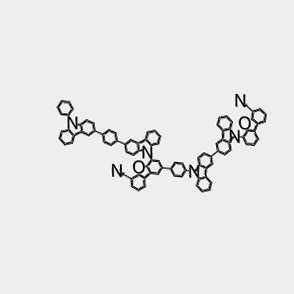 N#Cc1cccc2c1oc1c(-n3c4ccccc4c4cc(-c5ccc6c(c5)c5ccccc5n6-c5ccc(-c6cc(-n7c8ccccc8c8cc(-c9ccc(-c%10ccc%11c(c%10)c%10ccccc%10n%11-c%10ccccc%10)cc9)ccc87)c7oc8c(C#N)cccc8c7c6)cc5)ccc43)cccc12